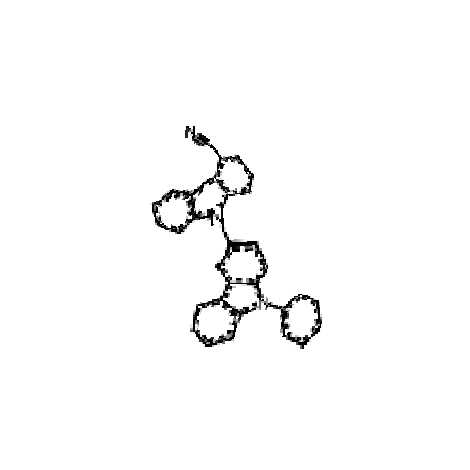 N#Cc1cccc2c1c1ccccc1n2-c1ccc2c(c1)c1ccccc1n2-c1ccccc1